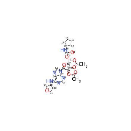 CC(=O)O[C@@H]1[C@H](OC(C)=O)[C@@H](COC(=O)NC2CCCC2)O[C@H]1n1cnc2c(N[C@@H]3CCOC3)ncnc21